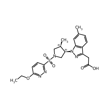 CCOc1ccc(S(=O)(=O)N2C[C@@H](C)[C@@H](n3nc(CC(=O)O)c4ccc(C)cc43)C2)nn1